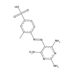 Cc1cc(S(=O)(=O)O)ccc1/N=N/c1c(N)nc(N)nc1N